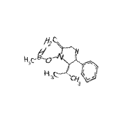 C=C1CN=C(c2ccccc2)C(C(C)C)N1OBC